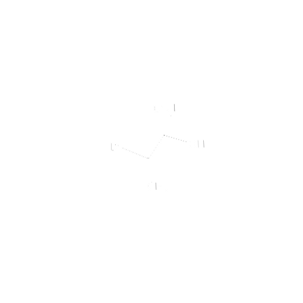 C[C@H](Br)[C@@H](O)C(=O)O